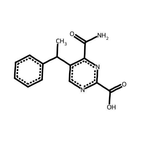 CC(c1ccccc1)c1cnc(C(=O)O)nc1C(N)=O